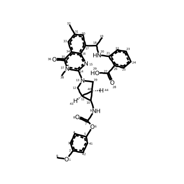 COc1ccc(OC(=O)NC2[C@H]3CN(c4nc5c(C(C)Nc6ccccc6C(=O)O)cc(C)cc5c(=O)n4C)C[C@@H]23)cc1